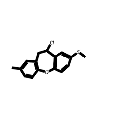 CSc1ccc2c(c1)C(Cl)Cc1cc(C)ccc1O2